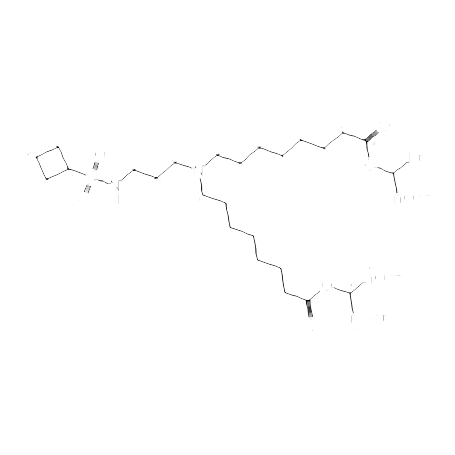 CCCCCCCCC(CC)OC(=O)CCCCCCCN(CCCCCCCC(=O)OC(CCCCCCCC)CCCCCCCC)CCCNS(=O)(=O)C1CCC1